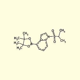 CC(C)S(=O)(=O)n1ccc2c(B3OC(C)(C)C(C)(C)O3)cccc21